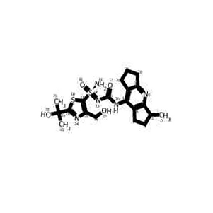 CC1CCc2c1nc1c(c2NC(=O)N=[S@](N)(=O)c2sc(C(C)(C)O)nc2CO)CCC1